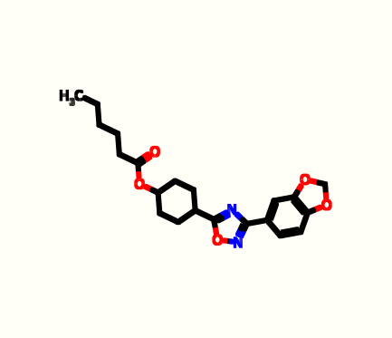 CCCCCC(=O)OC1CCC(c2nc(-c3ccc4c(c3)OCO4)no2)CC1